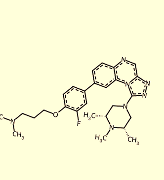 C[C@@H]1CN(c2nnc3cnc4ccc(-c5ccc(OCCCN(C)C)c(F)c5)cc4n23)C[C@H](C)N1C